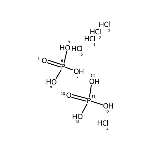 Cl.Cl.Cl.Cl.Cl.O=P(O)(O)O.O=P(O)(O)O